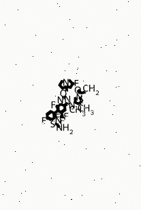 C=CC(=O)N1CC(C)C(N(C)c2nc(OCC34CCCN3CC(F)C4)nc3c(F)c(-c4ccc(F)c5sc(N)nc45)c(C(F)(F)F)cc23)C1